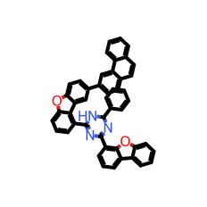 c1ccc(C2N=C(c3cccc4c3oc3ccccc34)N=C(c3cccc4oc5ccc(-c6ccc7ccc8ccccc8c7c6)cc5c34)N2)cc1